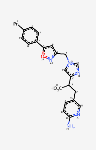 CC(C)c1ccc(-c2cc(Cn3cnc(C(Cc4ccc(N)nc4)C(=O)O)c3)no2)cc1